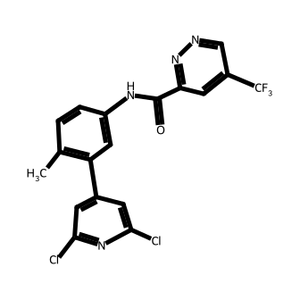 Cc1ccc(NC(=O)c2cc(C(F)(F)F)cnn2)cc1-c1cc(Cl)nc(Cl)c1